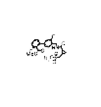 COC(=O)c1c(F)cccc1-c1ccc(CNC(=O)C2CC2CS(C)(=O)=O)c(F)c1